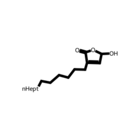 CCCCCCCCCCCCCC1=CC(O)OC1=O